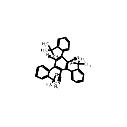 CC(C)(C)c1ccccc1-c1c(C#N)c(-c2ccccc2C(C)(C)C)c(C#N)c(-c2ccccc2C(C)(C)C)c1C#N